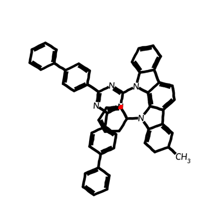 CC1C=c2c(n(C3C=CC=CC3)c3c2ccc2c4ccccc4n(-c4nc(-c5ccc(-c6ccccc6)cc5)nc(-c5ccc(-c6ccccc6)cc5)n4)c23)=CC1